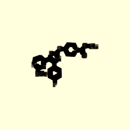 CSc1nccc(-c2sc(OC3CCN(C(=O)OC(C)(C)C)CC3)nc2-c2ccc(F)cc2)n1